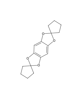 c1c2c(cc3c1OC1(CCCC1)O3)OC1(CCCC1)O2